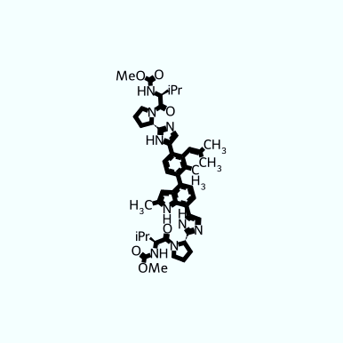 COC(=O)N[C@H](C(=O)N1CCC[C@H]1c1ncc(-c2ccc(-c3ccc(-c4cnc([C@@H]5CCCN5C(=O)[C@@H](NC(=O)OC)C(C)C)[nH]4)c4[nH]c(C)cc34)c(C)c2C=C(C)C)[nH]1)C(C)C